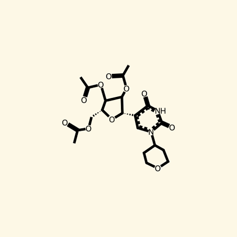 CC(=O)OC[C@H]1O[C@@H](c2cn(C3CCOCC3)c(=O)[nH]c2=O)C(OC(C)=O)C1OC(C)=O